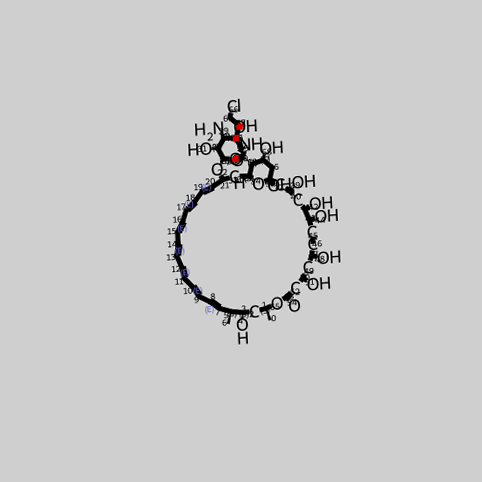 C[C@H]1C[C@H](O)[C@@H](C)/C=C/C=C/C=C/C=C/C=C/C=C/C=C/C(O[C@@H]2OC[C@@H](O)[C@H](N)[C@@H]2O)C[C@@H]2OC(O)(CC(O)CC(O)C(O)CCC(O)CC(O)CC(=O)O1)C[C@H](O)[C@H]2C(=O)NCCCCl